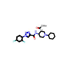 COC(=O)[C@@H]1CN(C2CCCCC2)CC[C@H]1NC(=O)c1cn(-c2ccc(F)cc2F)nn1